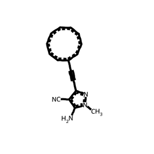 Cn1nc(C#Cc2ccccccccc2)c(C#N)c1N